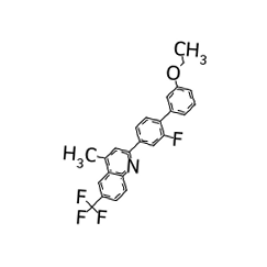 CCOc1cccc(-c2ccc(-c3cc(C)c4cc(C(F)(F)F)ccc4n3)cc2F)c1